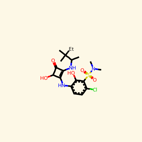 CCC(C)(C)C(C)NC1=C(Nc2ccc(Cl)c(S(=O)(=O)N(C)C)c2O)C(O)C1=O